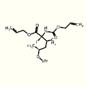 C=CCOC(=O)N[C@@](F)(C(=O)OCC=C)C(C)C[C@H](C)OCCC